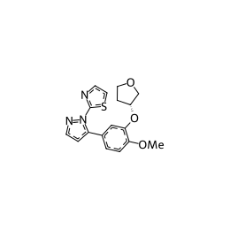 COc1ccc(-c2ccnn2-c2nccs2)cc1O[C@@H]1CCOC1